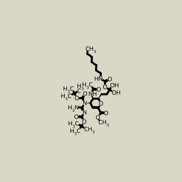 CCCCCCCNC(=O)OC(O)(O)CC[C@H]1OC(C(=O)OC)=C[C@H](N(C(=O)OC(C)(C)C)C(N)=NC(=O)OC(C)(C)C)[C@H]1NC(C)=O